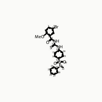 COc1ccc(Br)cc1C(=O)NC(=S)Nc1ccc(S(=O)(=O)N(C)c2ccccc2)cc1